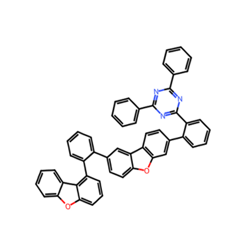 c1ccc(-c2nc(-c3ccccc3)nc(-c3ccccc3-c3ccc4c(c3)oc3ccc(-c5ccccc5-c5cccc6oc7ccccc7c56)cc34)n2)cc1